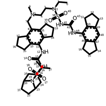 CCN(CCN(C)Cc1c2c(c(NC(=O)NS(=O)(=O)N3C4CCC3CN(C(C)C)C4)c3c1CCC3)CCC2)S(=O)(=O)NC(=O)Nc1c2c(cc3c1CCC3)CCC2